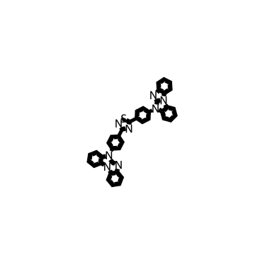 c1ccc2c(c1)nc1n(-c3ccc(-c4nsc(-c5ccc(-n6c7ccccc7n7c8ccccc8nc67)cc5)n4)cc3)c3ccccc3n21